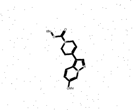 COc1ccc2c(C3=CCN(C(=O)OC(C)(C)C)CC3)cnn2c1